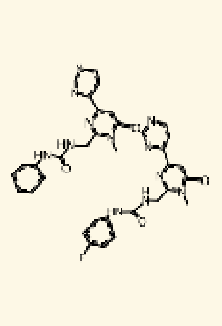 Cn1c(CNC(=O)Nc2ccc(F)cc2)nc(-c2ccncn2)cc1=O.Cn1c(CNC(=O)Nc2ccccc2)nc(-c2ccncn2)cc1=O